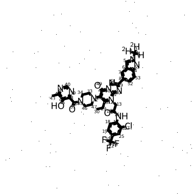 [2H]C([2H])([2H])n1cc2cc(-c3nc4n(CC(=O)Nc5ccc(C(F)(F)F)cc5Cl)c(CC)c(N5CCN(C(=O)c6ncnc(C)c6O)CC5)c(=O)n4n3)ccc2n1